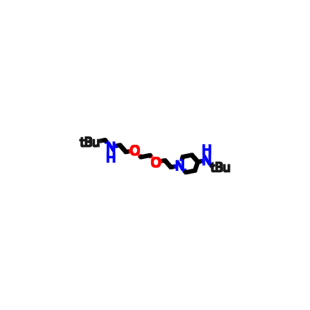 CC(C)(C)CNCCOCCOCCN1CCC(NC(C)(C)C)CC1